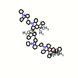 CC1(C)c2ccccc2-c2cc(-c3cccc(N(c4cccc(-c5cccc6c5c5ccc(-c7ccc(-c8ccc(N(c9cccc(-c%10cccc%11c%10c%10ccccc%10n%11-c%10ccccc%10)c9)c9ccccc9-c9cccc%10c9-c9ccccc9C%10(C)C)cc8)c8c7-c7ccccc7C8(C)C)cc5n6-c5ccccc5)c4)c4ccccc4-c4cccc5c4-c4ccccc4C5(C)C)c3)ccc21